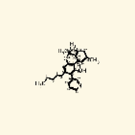 CCCCCc1cc2c(c(O)c1-c1cccnc1)[C@@H]1C=C(C)CC[C@H]1C(C)(C)O2